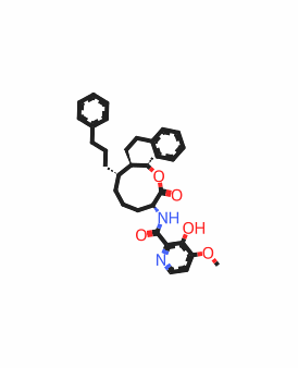 COc1ccnc(C(=O)N[C@H]2CCC[C@H](CCCc3ccccc3)[C@@H](CCc3ccccc3)[C@H](C)OC2=O)c1O